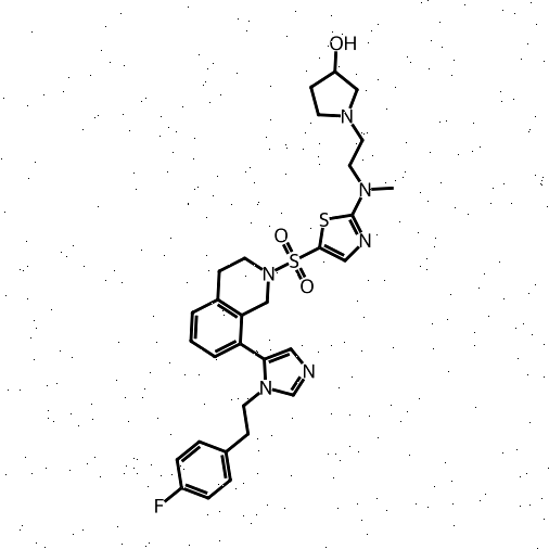 CN(CCN1CCC(O)C1)c1ncc(S(=O)(=O)N2CCc3cccc(-c4cncn4CCc4ccc(F)cc4)c3C2)s1